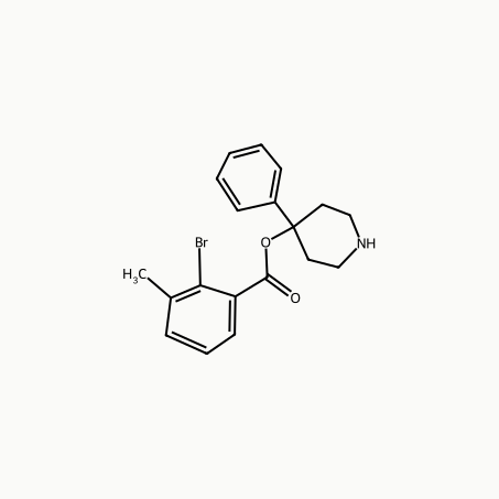 Cc1cccc(C(=O)OC2(c3ccccc3)CCNCC2)c1Br